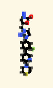 O=C1NC[C@@H](CN2C=CN(c3ccc(-c4ccc(N5CCSCC5)nc4)c(F)c3)N2)O1